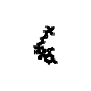 COc1cc(C)ccc1S(=O)(=O)NC(C)(C)CCCOCC(C)(C)C